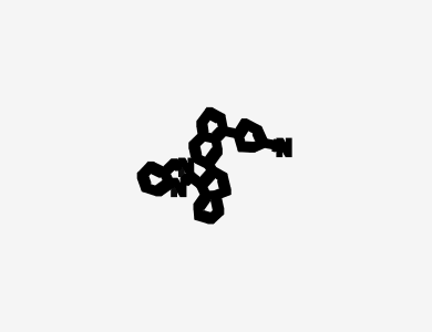 N#Cc1ccc(-c2cccc3ccc(-c4ccc5ccccc5c4-c4ncc5ccccc5n4)cc23)cc1